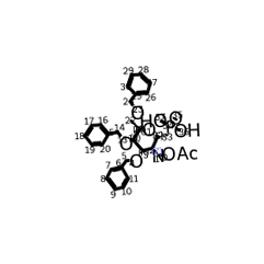 CC(=O)O/N=C1/[C@@H](OCc2ccccc2)[C@H](OCc2ccccc2)[C@@H](COCc2ccccc2)O[C@@H]1CP(=O)(O)O